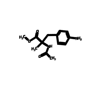 COC(=O)C(C)(Cc1ccc(N)cc1)NC(C)=O